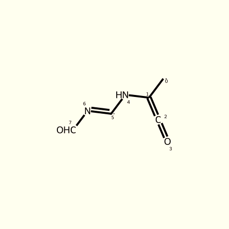 [CH2]C(=C=O)N/[C]=N/C=O